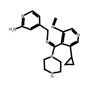 C=Nc1cncc(C2CC2)c1/C(=N\Cc1ccnc(N)c1)N1CCNCC1